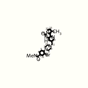 CNC(=O)c1ccc(N2CCN(Cc3cnc4c(c3)[nH]c(=O)n3ccc(C)c43)CC2)c(Br)c1